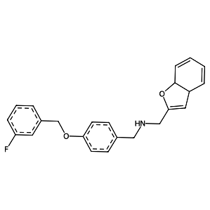 Fc1cccc(COc2ccc(CNCC3=CC4C=CC=CC4O3)cc2)c1